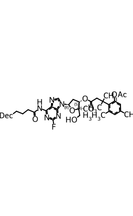 CCCCCCCCCCCCCC(=O)Nc1nc(F)nc2c1ncn2[C@H]1C[C@H](OC(=O)CC(C)(C)c2c(C)cc(C)cc2OC(C)=O)[C@@](C)(CO)O1